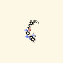 CN(C)c1cc(NC2CCC(NC(=O)CCCc3ccc([N+](=O)[O-])cc3)CC2)nc2ccccc12